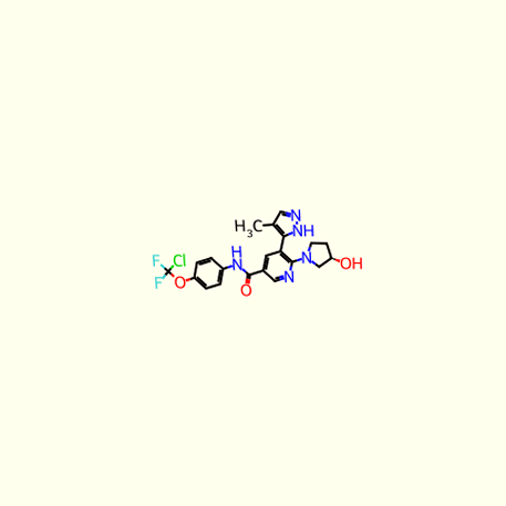 Cc1cn[nH]c1-c1cc(C(=O)Nc2ccc(OC(F)(F)Cl)cc2)cnc1N1CC[C@@H](O)C1